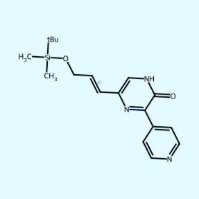 CC(C)(C)[Si](C)(C)OC/C=C/c1c[nH]c(=O)c(-c2ccncc2)n1